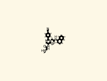 CNCC(=O)Nc1cnc(-c2ccc(C#N)cc2)n(CC(=O)NC2CCCc3ccccc32)c1=O